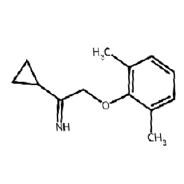 Cc1cccc(C)c1OCC(=N)C1CC1